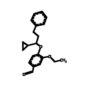 CCOc1cc(C=O)ccc1OC(CCc1ccccc1)C1CC1